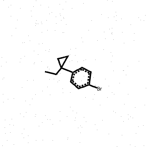 C[CH]C1(c2ccc(Br)cc2)CC1